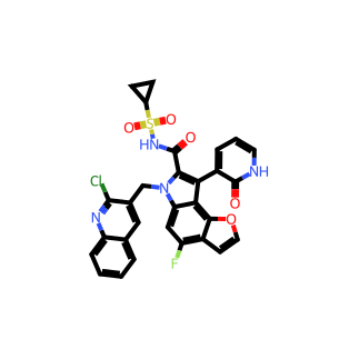 O=C(NS(=O)(=O)C1CC1)c1c(-c2ccc[nH]c2=O)c2c3occc3c(F)cc2n1Cc1cc2ccccc2nc1Cl